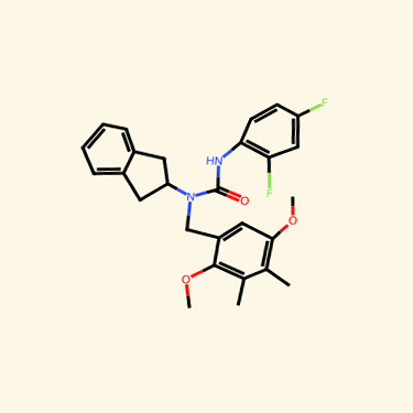 COc1cc(CN(C(=O)Nc2ccc(F)cc2F)C2Cc3ccccc3C2)c(OC)c(C)c1C